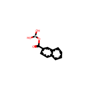 O=C(OB(O)O)c1ccc2ccccc2c1